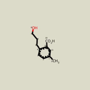 Cc1ccc(CCCO)c(C(=O)O)c1